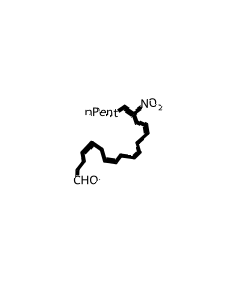 CCCCC/C=C(\C/C=C\C/C=C\C/C=C\C/C=C\CC[C]=O)[N+](=O)[O-]